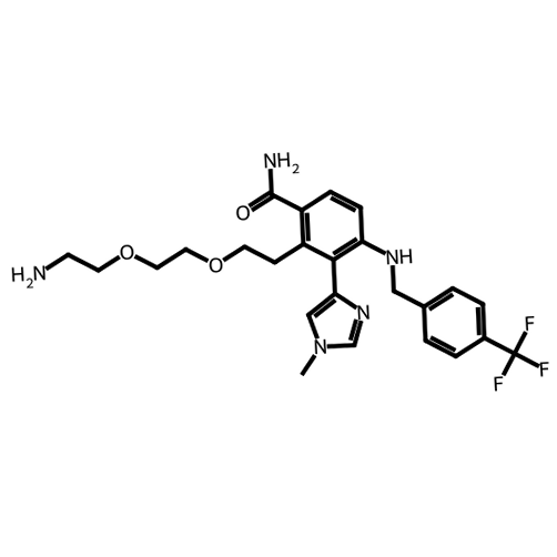 Cn1cnc(-c2c(NCc3ccc(C(F)(F)F)cc3)ccc(C(N)=O)c2CCOCCOCCN)c1